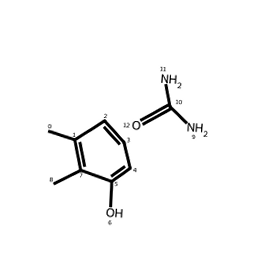 Cc1cccc(O)c1C.NC(N)=O